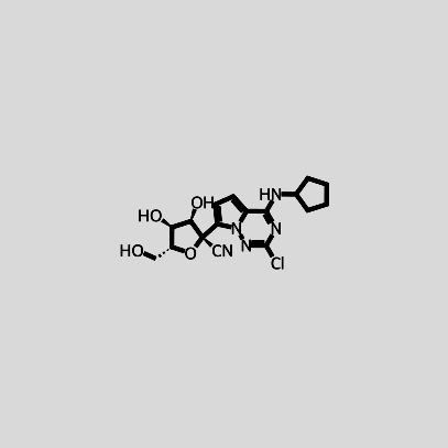 N#C[C@@]1(c2ccc3c(NC4CCCC4)nc(Cl)nn23)O[C@H](CO)[C@@H](O)[C@H]1O